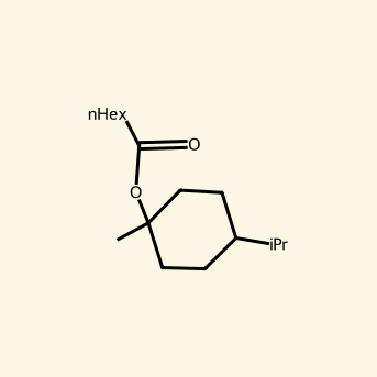 CCCCCCC(=O)OC1(C)CCC(C(C)C)CC1